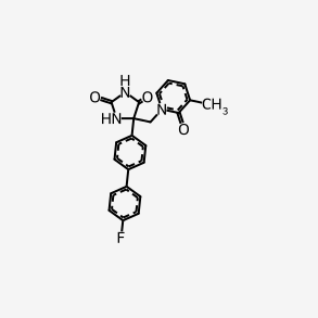 Cc1cccn(CC2(c3ccc(-c4ccc(F)cc4)cc3)NC(=O)NC2=O)c1=O